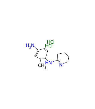 Cc1cc(N)ccc1NC1=NCCCC1.Cl.Cl